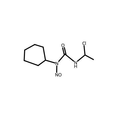 CC(Cl)NC(=O)N(N=O)C1CCCCC1